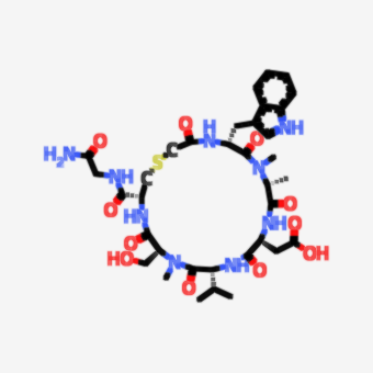 CC(C)[C@H]1NC(=O)[C@H](CC(=O)O)NC(=O)[C@@H](C)N(C)C(=O)[C@@H](Cc2c[nH]c3ccccc23)NC(=O)CSC[C@@H](C(=O)NCC(N)=O)NC(=O)[C@H](CO)N(C)C1=O